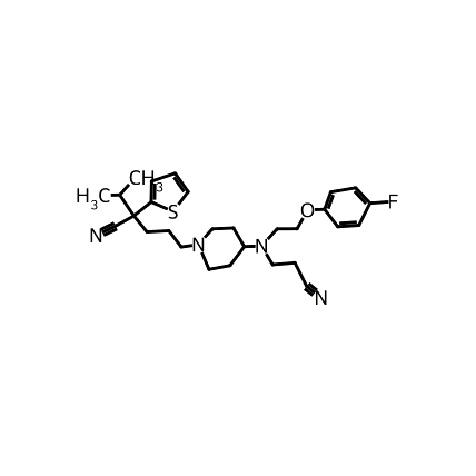 CC(C)C(C#N)(CCCN1CCC(N(CCC#N)CCOc2ccc(F)cc2)CC1)c1cccs1